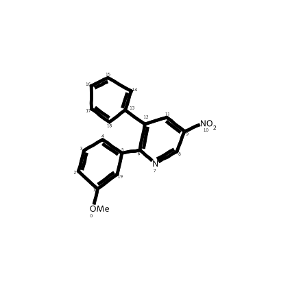 COc1cccc(-c2ncc([N+](=O)[O-])cc2-c2ccccc2)c1